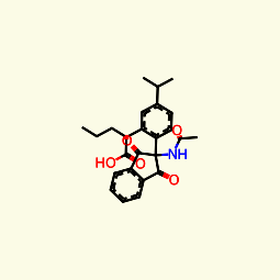 CCCC(C(=O)O)c1cc(C(C)C)ccc1C1(NC(C)=O)C(=O)c2ccccc2C1=O